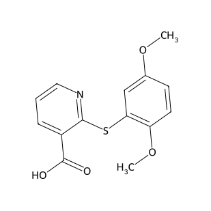 COc1ccc(OC)c(Sc2ncccc2C(=O)O)c1